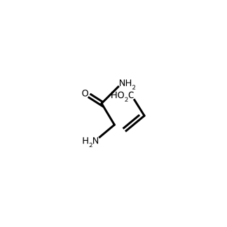 C=CC(=O)O.NCC(N)=O